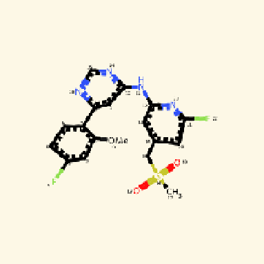 COc1cc(F)ccc1-c1cc(Nc2cc(CS(C)(=O)=O)cc(F)n2)ncn1